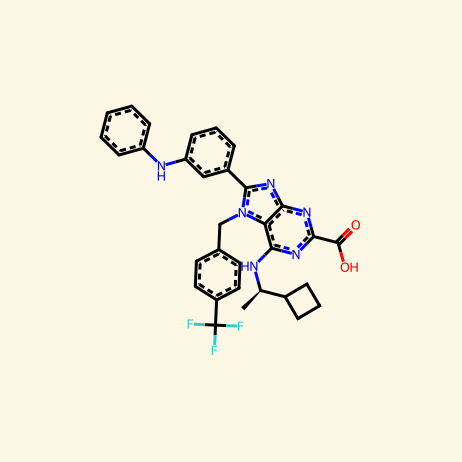 C[C@@H](Nc1nc(C(=O)O)nc2nc(-c3cccc(Nc4ccccc4)c3)n(Cc3ccc(C(F)(F)F)cc3)c12)C1CCC1